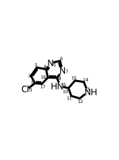 Clc1ccc2ncnc(NC3CCNCC3)c2c1